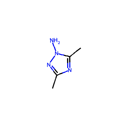 Cc1nc(C)n(N)n1